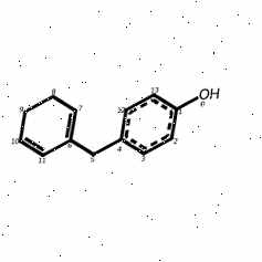 Oc1ccc(CC2=CCCC=C2)cc1